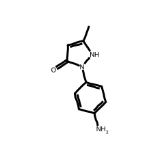 Cc1cc(=O)n(-c2ccc(N)cc2)[nH]1